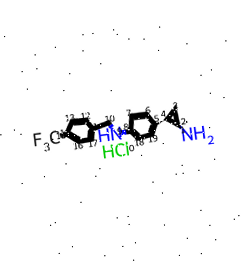 Cl.N[C@@H]1C[C@H]1c1ccc(NCc2ccc(C(F)(F)F)cc2)cc1